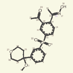 COC1(c2cccc(S(=O)(=O)c3ccc(/C(C)=N/O)c(C(C)=O)c3)c2)CCOCC1